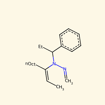 C=NN(/C(=C\C)CCCCCCCC)C(CC)c1ccccc1